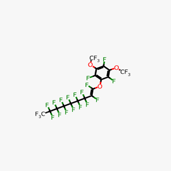 FC(Oc1c(F)c(OC(F)(F)F)c(F)c(OC(F)(F)F)c1F)=C(F)C(F)(F)C(F)(F)C(F)(F)C(F)(F)C(F)(F)C(F)(F)C(F)(F)F